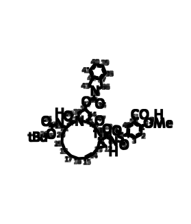 COc1ccc(S(=O)(=O)NC(=O)C23CC2C=CCCCCCC(NC(=O)OC(C)(C)C)C(=O)N2CC(OC(=O)N4Cc5ccccc5C4)CC2C(=O)N3)cc1C(=O)O